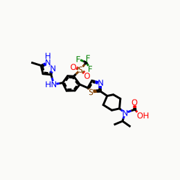 Cc1cc(Nc2ccc(-c3cnc(C4CCC(N(C(=O)O)C(C)C)CC4)s3)c(S(=O)(=O)C(F)(F)F)c2)n[nH]1